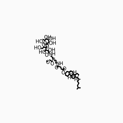 COCC(=O)N(CCNC(=O)CCC(=O)OC1CC[C@]2(C)C(=CC[C@@H]3[C@H]4CC[C@@H]([C@@H](C)CCCC(C)C)[C@@H]4CC[C@H]32)C1)CCNC(=O)C(O)C(O)C(O[C@@H]1OC(CO)[C@H](O)[C@H](O)C1O)C(O)CO